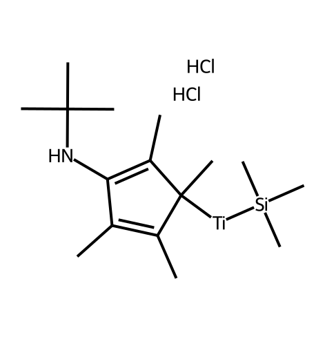 CC1=C(C)[C](C)([Ti][Si](C)(C)C)C(C)=C1NC(C)(C)C.Cl.Cl